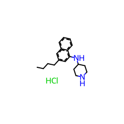 CCCCc1cc(NC2CCNCC2)c2ccccc2c1.Cl